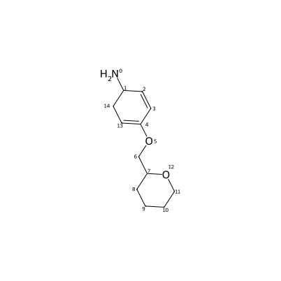 NC1C=CC(OCC2CCCCO2)=CC1